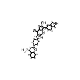 CC(CC(=O)N1CCC(O)(Cn2cnc3c(-c4ccc5c(c4)CNC5)n(C)nc3c2=O)CC1)c1ccccc1